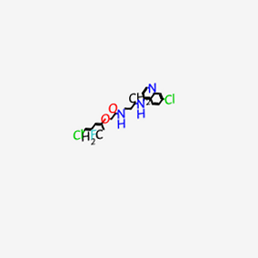 C=C/C(=C\C(F)=C\Cl)OCC(=O)NCCC(=C)Nc1ccnc2cc(Cl)ccc12